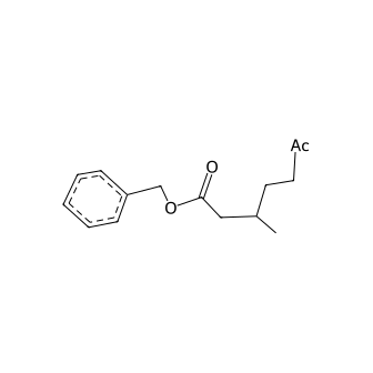 CC(=O)CCC(C)CC(=O)OCc1ccccc1